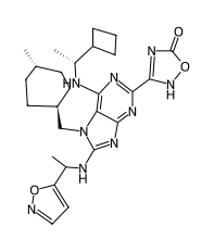 CC(Nc1nc2nc(-c3nc(=O)o[nH]3)nc(N[C@H](C)C3CCC3)c2n1C[C@H]1CC[C@H](C)CC1)c1ccno1